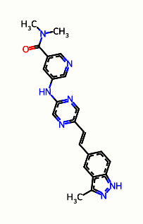 Cc1n[nH]c2ccc(/C=C/c3cnc(Nc4cncc(C(=O)N(C)C)c4)cn3)cc12